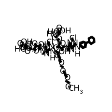 COCCOCCOCCOCCOCC(Nc1nc(Cl)nc2c1ncn2[C@@H]1O[C@H](COP(=O)(O)CP(=O)(O)O)C(O)C1O)OC1C(O)[C@H](n2cnc3c(Nc4ccc(C5CCCCC5)cc4)nc(Cl)nc32)O[C@@H]1COP(=O)(O)CP(=O)(O)O